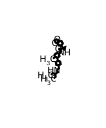 CCC(CC)CNCc1ccc(-c2cc(NC(=O)C3(c4ccc5c(c4)OCO5)CC3)ccc2C)cc1